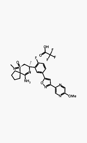 CN=[S@@]1(=O)C[C@@](C)(c2cc(-c3cc(-c4cnc(OC)cn4)no3)ccc2F)N=C(N)C12CCCC2.O=C(O)C(F)(F)F